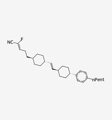 CCCCCc1ccc([C@H]2CC[C@H](C=C[C@H]3CC[C@H](CCC=C(F)C#N)CC3)CC2)cc1